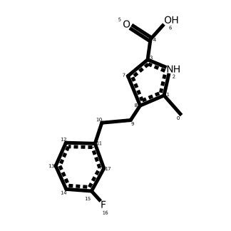 Cc1[nH]c(C(=O)O)cc1CCc1cccc(F)c1